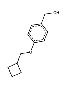 OCc1ccc(OCC2CCC2)cc1